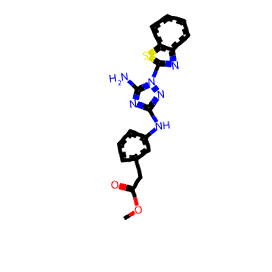 COC(=O)Cc1cccc(Nc2nc(N)n(-c3nc4ccccc4s3)n2)c1